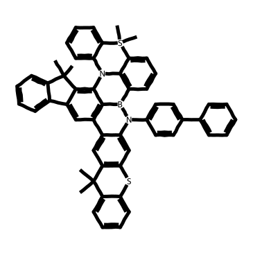 CC1(C)c2ccccc2Sc2cc3c(cc21)-c1cc2c(c4c1B(c1cccc5c1N4c1ccccc1S5(C)C)N3c1ccc(-c3ccccc3)cc1)C(C)(C)c1ccccc1-2